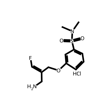 CN(C)S(=O)(=O)c1cccc(OC/C(=C\F)CN)c1.Cl